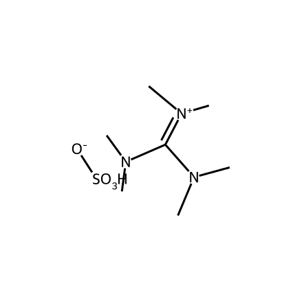 CN(C)C(N(C)C)=[N+](C)C.O=S(=O)([O-])O